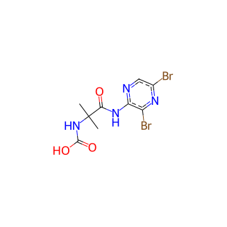 CC(C)(NC(=O)O)C(=O)Nc1ncc(Br)nc1Br